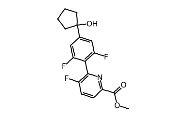 COC(=O)c1ccc(F)c(-c2c(F)cc(C3(O)CCCC3)cc2F)n1